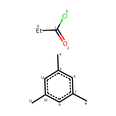 CCC(=O)Cl.Cc1cc(C)cc(C)c1